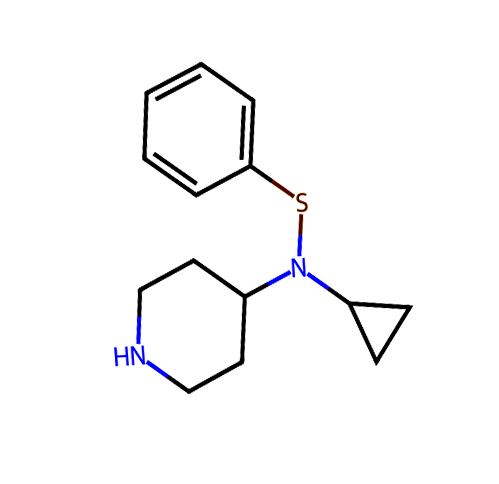 c1ccc(SN(C2CCNCC2)C2CC2)cc1